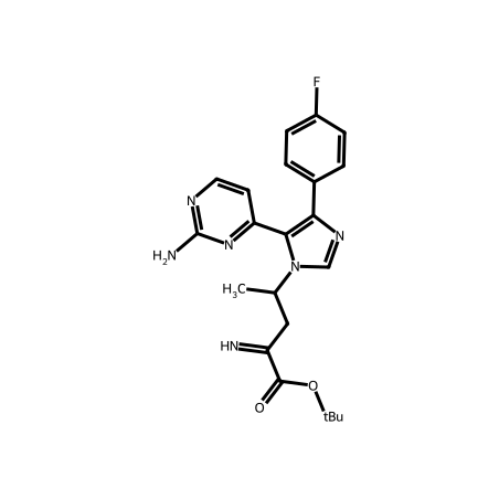 CC(CC(=N)C(=O)OC(C)(C)C)n1cnc(-c2ccc(F)cc2)c1-c1ccnc(N)n1